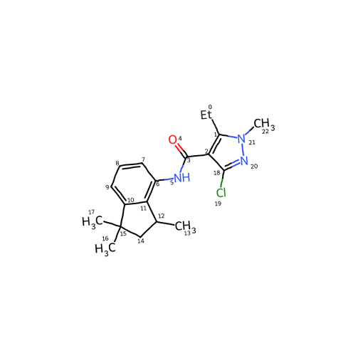 CCc1c(C(=O)Nc2cccc3c2C(C)CC3(C)C)c(Cl)nn1C